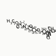 CCOC(=O)[C@@H]1CCCN(CC2=Cc3ccc(OCc4ccc5c(c4)c(Cl)nn5C(C)C)cc3OC2)C1